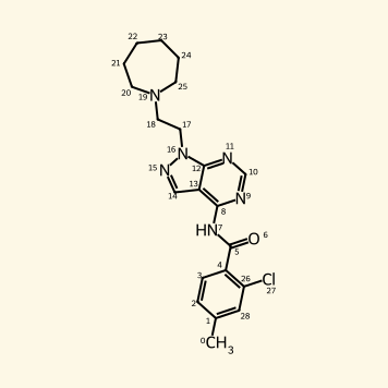 Cc1ccc(C(=O)Nc2ncnc3c2cnn3CCN2CCCCCC2)c(Cl)c1